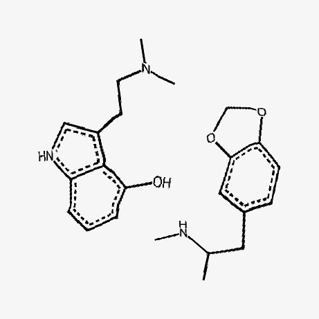 CN(C)CCc1c[nH]c2cccc(O)c12.CNC(C)Cc1ccc2c(c1)OCO2